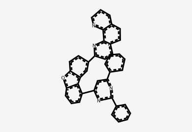 c1ccc(-c2cc(-c3cccc4oc5ccc(-c6ccc7ccc8cccnc8c7n6)cc5c34)nc(-c3ccccc3)n2)cc1